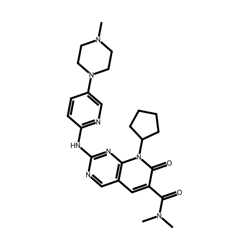 CN1CCN(c2ccc(Nc3ncc4cc(C(=O)N(C)C)c(=O)n(C5CCCC5)c4n3)nc2)CC1